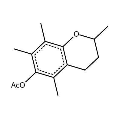 CC(=O)Oc1c(C)c(C)c2c(c1C)CCC(C)O2